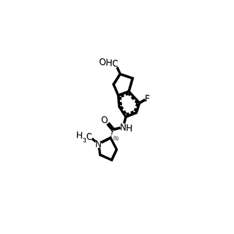 CN1CCC[C@H]1C(=O)Nc1cc(F)c2c(c1)CC(C=O)C2